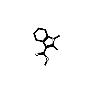 COC(=O)c1c2c(n(C)c1I)CCCC2